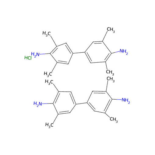 Cc1cc(-c2cc(C)c(N)c(C)c2)cc(C)c1N.Cc1cc(-c2cc(C)c(N)c(C)c2)cc(C)c1N.Cl